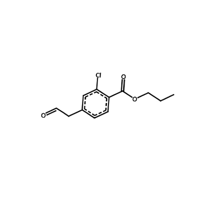 CCCOC(=O)c1ccc(CC=O)cc1Cl